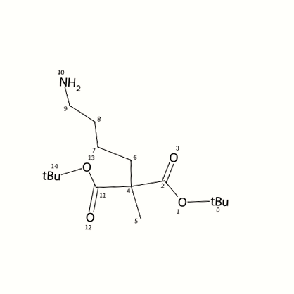 CC(C)(C)OC(=O)C(C)(CCCCN)C(=O)OC(C)(C)C